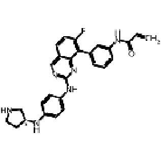 C=CC(=O)Nc1cccc(-c2c(F)ccc3cnc(Nc4ccc(N[C@H]5CCNC5)cc4)nc23)c1